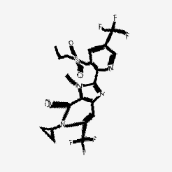 CCS(=O)(=O)c1cc(C(F)(F)F)cnc1-c1nc2cc(C(F)(F)F)n(C3CC3)c(=O)c2n1C